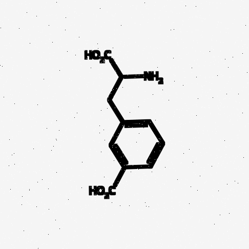 NC(Cc1cccc(C(=O)O)c1)C(=O)O